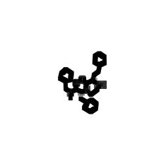 CN(Cc1ccccc1)C(=O)[C@@H](Cc1ccccc1)N1CCN[C@H](CCc2ccccc2)C1=O